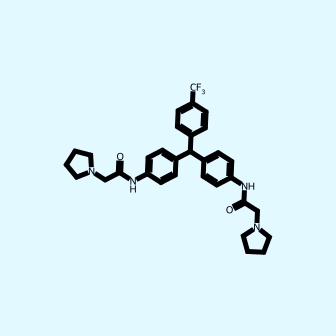 O=C(CN1CCCC1)Nc1ccc(C(c2ccc(NC(=O)CN3CCCC3)cc2)c2ccc(C(F)(F)F)cc2)cc1